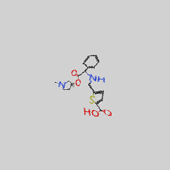 CN1CC[C@@H](OC(=O)C(NCc2ccc(C(=O)O)s2)c2ccccc2)C1